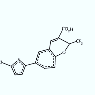 O=C(O)C1=Cc2cc(-c3ccc(Cl)s3)ccc2OC1C(F)(F)F